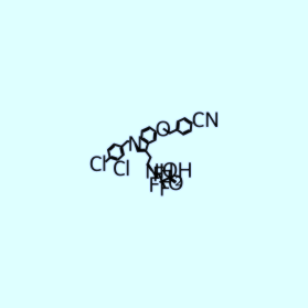 N#Cc1ccc(COc2ccc3c(c2)c(CCN)cn3Cc2ccc(Cl)c(Cl)c2)cc1.O=C(O)C(F)(F)F